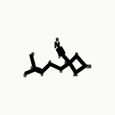 CC(C)=CCCC1(C#N)CCC1